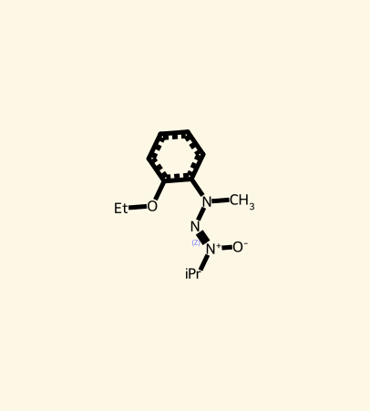 CCOc1ccccc1N(C)/N=[N+](\[O-])C(C)C